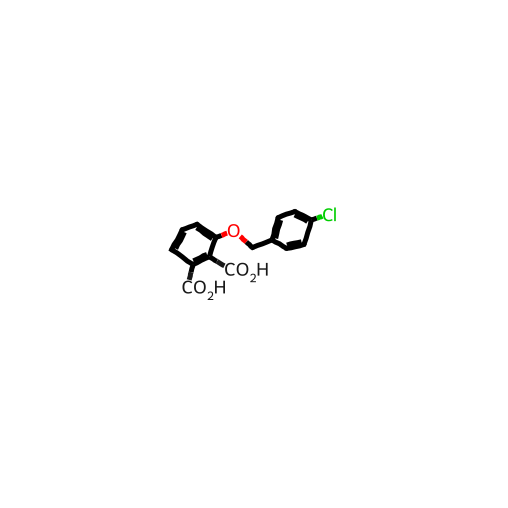 O=C(O)c1cccc(OCc2ccc(Cl)cc2)c1C(=O)O